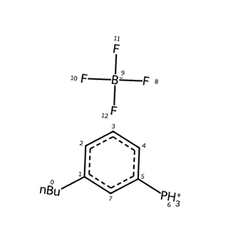 CCCCc1cccc([PH3+])c1.F[B-](F)(F)F